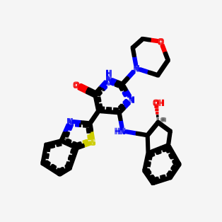 O=c1[nH]c(N2CCOCC2)nc(NC2c3ccccc3C[C@H]2O)c1-c1nc2ccccc2s1